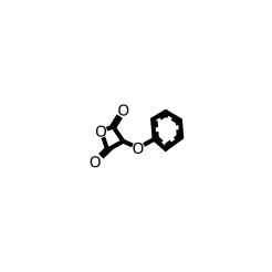 O=C1OC(=O)C1Oc1ccccc1